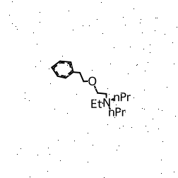 CCC[N+](CC)(CCC)CCOCCc1ccccc1